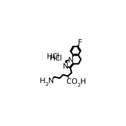 Cl.Cl.NCCC[C@@H](Cc1ncn2c1CCc1cc(F)ccc1-2)C(=O)O